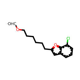 O=[C]OCCCCCCc1cc2cccc(Cl)c2o1